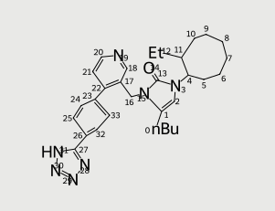 CCCCc1cn(C2CCCCCCC2CC)c(=O)n1Cc1cnccc1-c1ccc(-c2nnn[nH]2)cc1